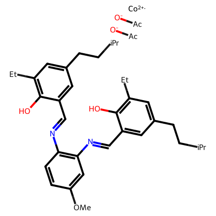 CC(=O)[O-].CC(=O)[O-].CCc1cc(CCC(C)C)cc(C=Nc2ccc(OC)cc2N=Cc2cc(CCC(C)C)cc(CC)c2O)c1O.[Co+2]